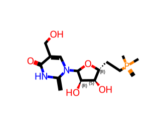 C=C1NC(=O)C(CO)=CN1C1O[C@H](CCP(=C)(C)C)[C@@H](O)[C@H]1O